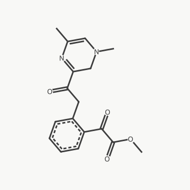 COC(=O)C(=O)c1ccccc1CC(=O)C1=NC(C)=CN(C)C1